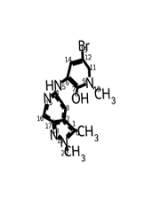 Cc1c2cc(NC3=C(O)N(C)CC(Br)=C3)ncc2nn1C